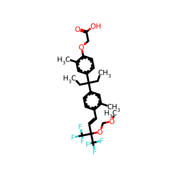 CCC(CC)(c1ccc(C=CC(OCOC)(C(F)(F)F)C(F)(F)F)c(C)c1)c1ccc(OCC(=O)O)c(C)c1